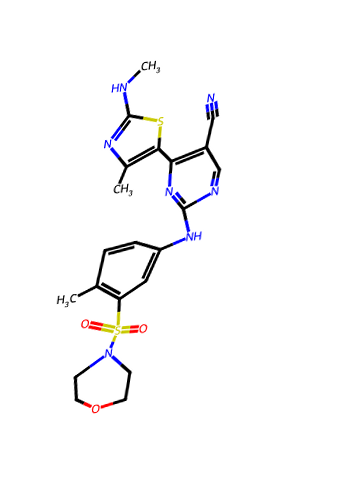 CNc1nc(C)c(-c2nc(Nc3ccc(C)c(S(=O)(=O)N4CCOCC4)c3)ncc2C#N)s1